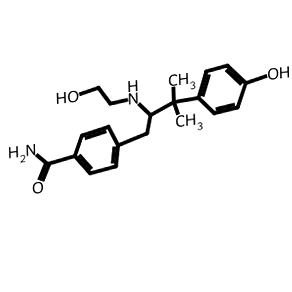 CC(C)(c1ccc(O)cc1)C(Cc1ccc(C(N)=O)cc1)NCCO